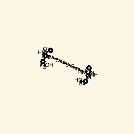 O=C(O)c1cc(-c2cc(C(=O)NCCCOCCOCCOCCOCCOCCCNCc3cc(-c4ccc(F)c(C(=O)O)c4)nc4[nH][n+]([O-])c(-c5ccccc5)c34)c3c(-c4ccccc4)n[nH]c3n2)ccc1F